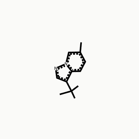 Cc1ccc2c(C(C)(C)C)cnn2c1